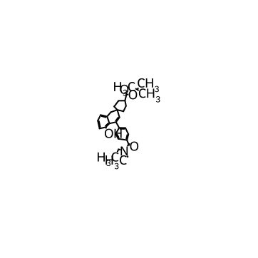 CCN(CC)C(=O)c1ccc(C2=CC3(CCC(C(=O)OC(C)(C)C)CC3)Cc3cccc(O)c32)cc1